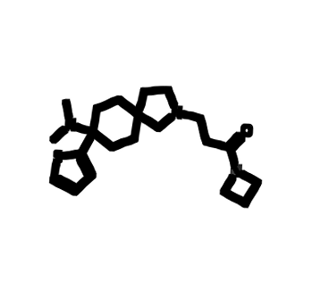 CN(C)C1(c2cccs2)CCC2(CCN(CCC(=O)N3CCC3)C2)CC1